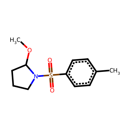 COC1CCCN1S(=O)(=O)c1ccc(C)cc1